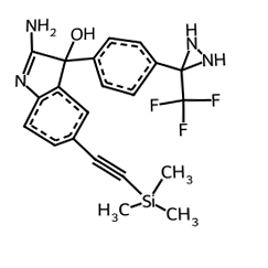 C[Si](C)(C)C#Cc1ccc2c(c1)C(O)(c1ccc(C3(C(F)(F)F)NN3)cc1)C(N)=N2